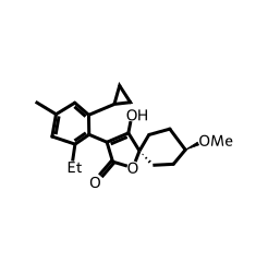 CCc1cc(C)cc(C2CC2)c1C1=C(O)[C@]2(CC[C@H](OC)CC2)OC1=O